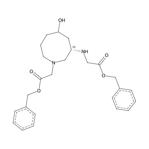 O=C(CN[C@H]1CC(O)CCCN(CC(=O)OCc2ccccc2)C1)OCc1ccccc1